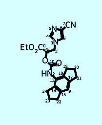 CCOC(=O)[C@@H](Cn1cnc(C#N)c1)OC(=O)Nc1c2c(cc3c1CCC3)CCC2